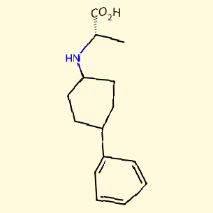 C[C@H](NC1CCC(c2ccccc2)CC1)C(=O)O